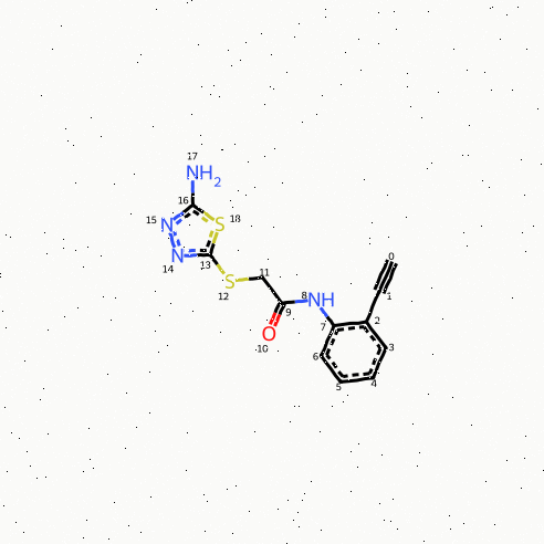 C#Cc1ccccc1NC(=O)CSc1nnc(N)s1